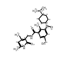 CCSc1cc(C(=O)NCc2c(C)cc(C)[nH]c2=O)c(C)c(N(CC)[C@H]2CC[C@H](N(C)C)CC2)c1